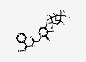 C[C@@H]1[C@H]2C[C@@H](C[C@H]1Nc1cnn(CC(=O)N/C(=N/O)c3ccncc3)c(=O)c1Br)C2(C)C